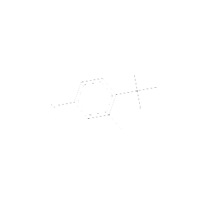 Nc1ccc(C(F)(F)F)c(I)c1